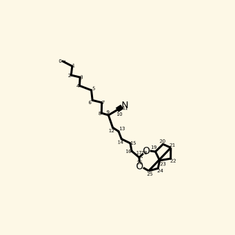 [CH2]CCCCCCCCC(C#N)CCCCC[C]1OC2CC3CC2CC3O1